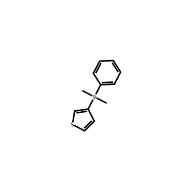 C[Si](C)(c1ccccc1)c1ccsc1